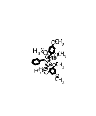 COc1cc(OC)c(P(=O)(O)CN(Cc2ccccc2)CP(=O)(O)c2c(OC)cc(OC)cc2OC)c(OC)c1